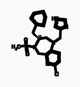 CS(=O)(=O)N1Cc2nc(Cl)ccc2N(Cc2c[nH]cn2)C[C@H]1Cc1ccccc1